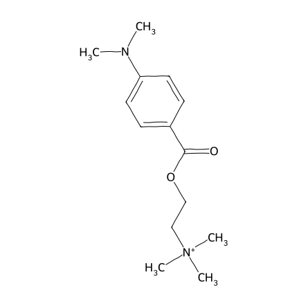 CN(C)c1ccc(C(=O)OCC[N+](C)(C)C)cc1